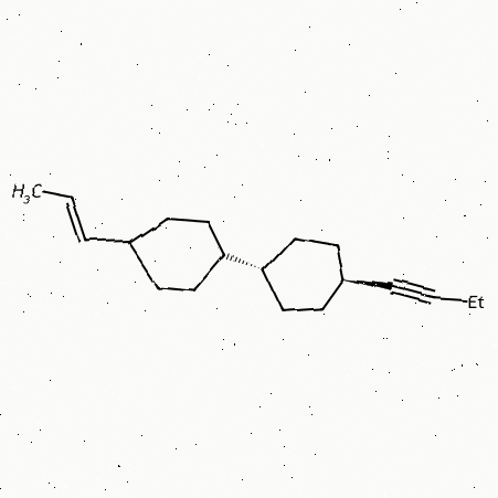 C/C=C/C1CCC([C@H]2CC[C@H](C#CCC)CC2)CC1